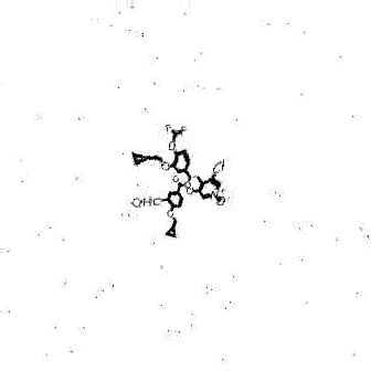 O=Cc1cc(C(=O)O[C@@H](Cc2c(Cl)c[n+]([O-])cc2Cl)c2ccc(OC(F)F)c(OCC3CC3)c2)ccc1OCC1CC1